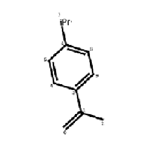 C=C(C)c1ccc([C](C)C)cc1